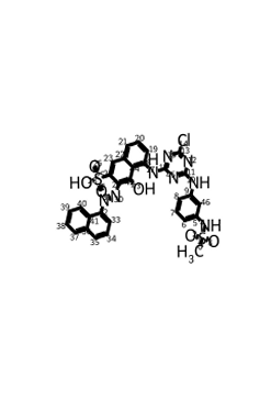 CS(=O)(=O)Nc1cccc(Nc2nc(Cl)nc(Nc3cccc4cc(S(=O)(=O)O)c(/N=N/c5cccc6ccccc56)c(O)c34)n2)c1